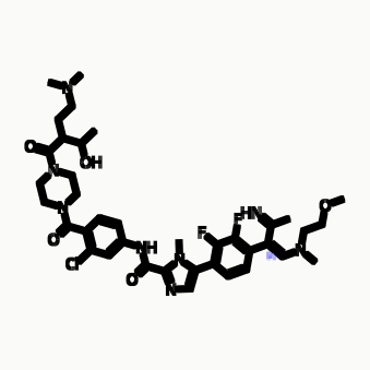 COCCN(C)/C=C(\C(C)=N)c1ccc(-c2cnc(C(=O)Nc3ccc(C(=O)N4CCN(C(=O)C(CCN(C)C)C(C)O)CC4)c(Cl)c3)n2C)c(F)c1F